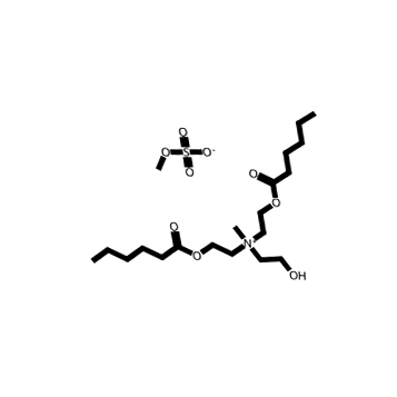 CCCCCC(=O)OCC[N+](C)(CCO)CCOC(=O)CCCCC.COS(=O)(=O)[O-]